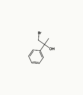 CC(O)(CBr)c1ccccc1